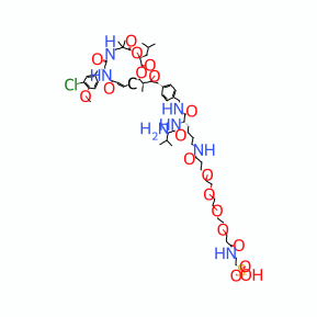 COc1ccc(C[C@H]2NC(=O)/C=C/C[C@@H]([C@H](C)[C@H]3O[C@@H]3c3ccc(CNC(=O)[C@H](CCCCNC(=O)CCOCCOCCOCCOCCC(=O)NCCS(=O)(=O)O)NC(=O)[C@@H](N)C(C)C)cc3)OC(=O)[C@H](CC(C)C)OC(=O)C(C)(C)CNC2=O)cc1Cl